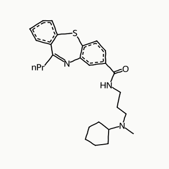 CCCC1=Nc2cc(C(=O)NCCCN(C)C3CCCCC3)ccc2Sc2ccccc21